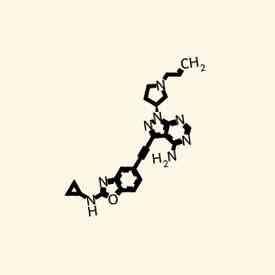 C=CCN1CC[C@H](n2nc(C#Cc3ccc4oc(NC5CC5)nc4c3)c3c(N)ncnc32)C1